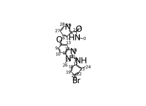 CNC(=O)c1cc(Oc2ccc3c(c2)nc(Nc2ccc(Br)cc2C)n3C)ccn1